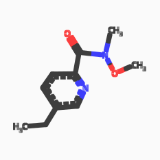 CCc1ccc(C(=O)N(C)OC)nc1